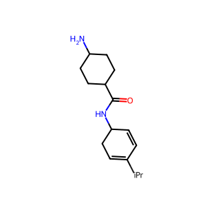 CC(C)C1=CCC(NC(=O)C2CCC(N)CC2)C=C1